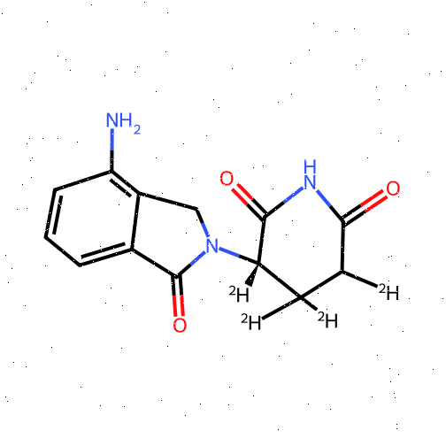 [2H]C1C(=O)NC(=O)[C@@]([2H])(N2Cc3c(N)cccc3C2=O)C1([2H])[2H]